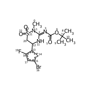 CN1C(=NC(=O)OC(C)(C)C)NC(c2sc(Br)cc2F)CS1(=O)=O